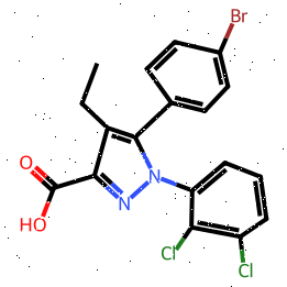 CCc1c(C(=O)O)nn(-c2cccc(Cl)c2Cl)c1-c1ccc(Br)cc1